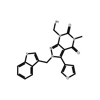 CC(C)Cn1c(=O)n(C)c(=O)c2c(-c3ccoc3)n(Cc3csc4ccccc34)nc21